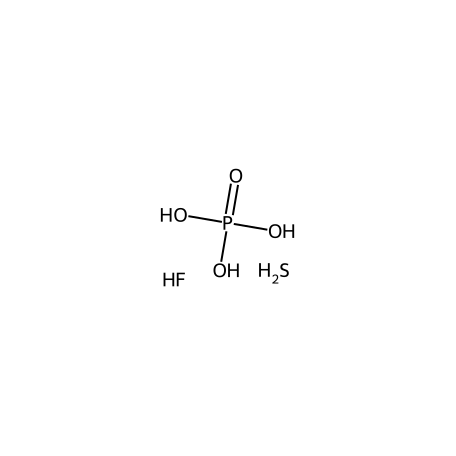 F.O=P(O)(O)O.S